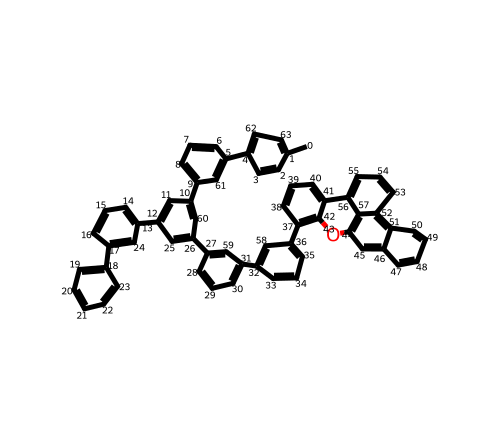 Cc1ccc(-c2cccc(-c3cc(-c4cccc(-c5ccccc5)c4)cc(-c4cccc(-c5cccc(-c6cccc7c6Oc6cc8ccccc8c8cccc-7c68)c5)c4)c3)c2)cc1